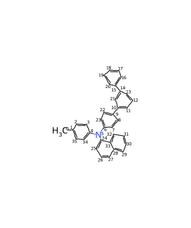 Cc1ccc(N(c2ccc(-c3cccc(-c4ccccc4)c3)cc2)c2cccc3ccccc23)cc1